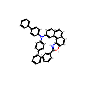 c1ccc(-c2ccc(N(c3ccc(-c4ccccc4)cc3)c3ccc4ccc5ccc6oc(-c7ccccc7)nc6c5c4c3)cc2)cc1